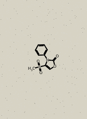 CS(=O)(=O)c1coc(=O)n1-c1ccccc1